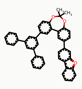 CC1(C)Oc2ccc(-c3cc(-c4ccccc4)cc(-c4ccccc4)c3)cc2-c2cc(-c3ccc4c(c3)oc3ccccc34)ccc2O1